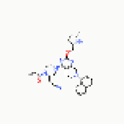 C=CC(=O)N1CCN(c2nc(OC[C@H]3CCC(C)N3)nc3c2CCN(c2cccc4ccccc24)C3)CC1CC#N